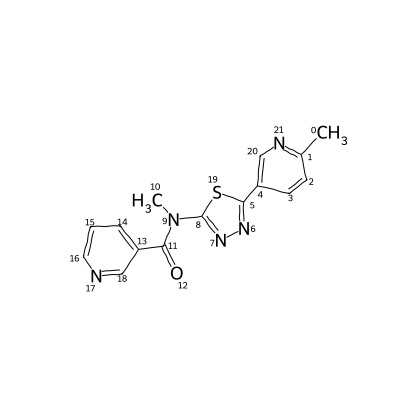 Cc1ccc(-c2nnc(N(C)C(=O)c3cccnc3)s2)cn1